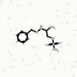 CC(COS(C)(=O)=O)NOCc1ccccc1